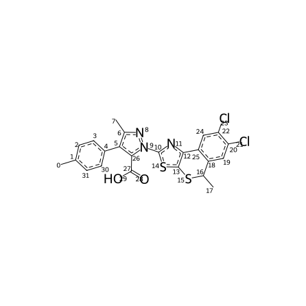 Cc1ccc(-c2c(C)nn(-c3nc4c(s3)SC(C)c3cc(Cl)c(Cl)cc3-4)c2C(=O)O)cc1